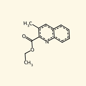 CCOC(=O)c1nc2ccccc2cc1C